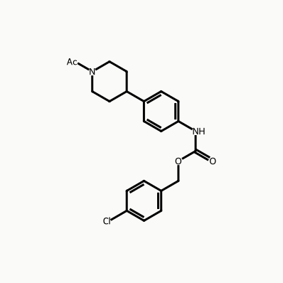 CC(=O)N1CCC(c2ccc(NC(=O)OCc3ccc(Cl)cc3)cc2)CC1